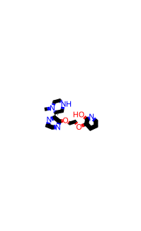 CN1CCNC[C@@H]1c1nccnc1OCCOc1cccnc1O